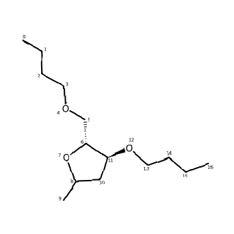 CCCCOC[C@H]1OC(C)C[C@@H]1OCCCC